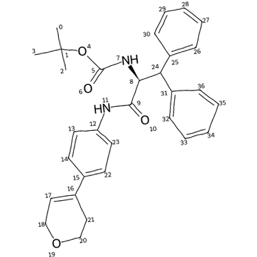 CC(C)(C)OC(=O)N[C@H](C(=O)Nc1ccc(C2=CCOCC2)cc1)C(c1ccccc1)c1ccccc1